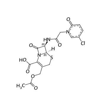 CC(=O)OCC1=C(C(=O)O)N2C(=O)[C@@H](NC(=O)Cn3cc(Cl)ccc3=O)[C@H]2SC1